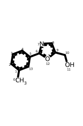 Cc1cccc(-c2ncc(CO)o2)c1